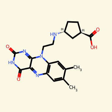 Cc1cc2nc3c(=O)[nH]c(=O)nc-3n(CCN[C@@H]3CC[C@@H](C(=O)O)C3)c2cc1C